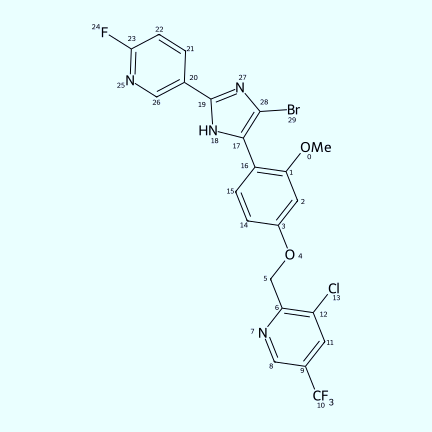 COc1cc(OCc2ncc(C(F)(F)F)cc2Cl)ccc1-c1[nH]c(-c2ccc(F)nc2)nc1Br